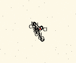 CN1c2nc(-c3nccnc3Cl)n(Cc3ccc(Cl)cc3)c2C(=O)N(CCCOC2CCCCO2)C1O